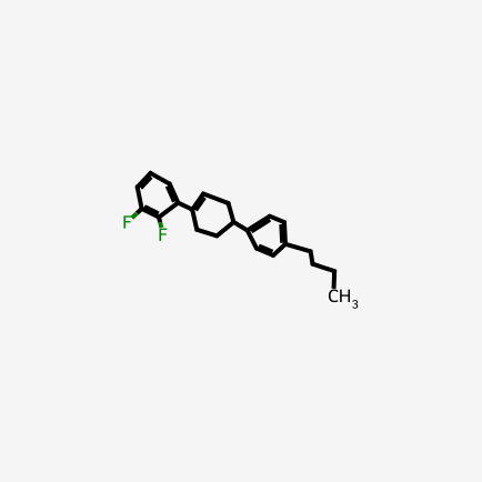 CCCCc1ccc(C2CC=C(c3cccc(F)c3F)CC2)cc1